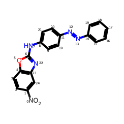 O=[N+]([O-])c1ccc2oc(Nc3ccc(N=Nc4ccccc4)cc3)nc2c1